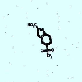 O=C(O)c1cc2cc(S(=O)(=O)C(F)(F)F)ccc2s1